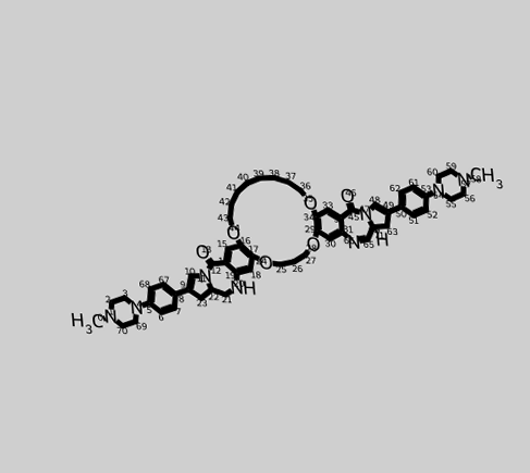 CN1CCN(c2ccc(C3=CN4C(=O)c5cc6c(cc5NCC4C3)OCCCOc3cc4c(cc3OCCCCCCCCO6)C(=O)N3C=C(c5ccc(N6CCN(C)CC6)cc5)C[C@H]3C=N4)cc2)CC1